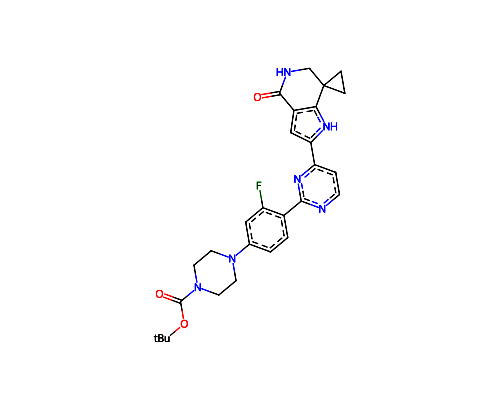 CC(C)(C)OC(=O)N1CCN(c2ccc(-c3nccc(-c4cc5c([nH]4)C4(CC4)CNC5=O)n3)c(F)c2)CC1